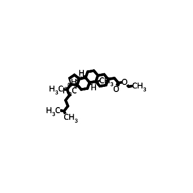 CCOC(=O)CC1CC[C@@]2(C)C(CC[C@H]3[C@@H]4CC[C@H]([C@H](C)CCCC(C)C)[C@@]4(C)CC[C@@H]32)C1